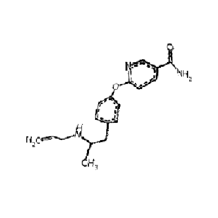 C=CCNC(C)Cc1ccc(Oc2ccc(C(N)=O)cn2)cc1